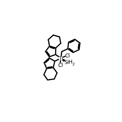 [SiH2]=[Ti]([Cl])([Cl])([CH2]c1ccccc1)([CH]1C=CC2=C1CCCC2)[CH]1C=CC2=C1CCCC2